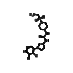 CCS(=O)(=O)N1CCC(NC(=O)NC2CCN(c3cn[nH]c(=O)c3Cl)C2)CC1